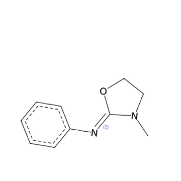 CN1CCO/C1=N\c1ccccc1